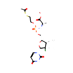 CO[C@@H]1[C@@H](CO[P@@](=O)(N[C@H](C)C(=O)OC(C)C)OCCSC(=O)C(C)(C)C)O[C@@H](n2ccc(=O)[nH]c2=O)[C@]1(C)Cl